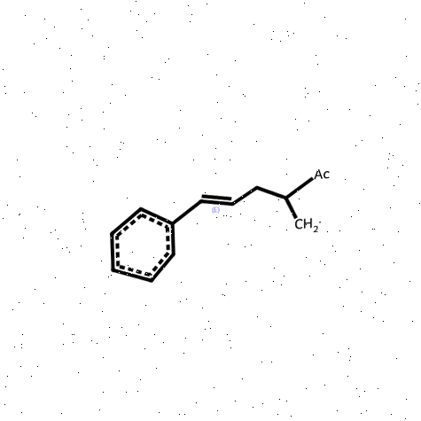 [CH2]C(C/C=C/c1ccccc1)C(C)=O